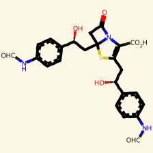 O=CNc1ccc([C@@H](O)CC2=C(C(=O)O)N3C(=O)CC3(C[C@H](O)c3ccc(NC=O)cc3)S2)cc1